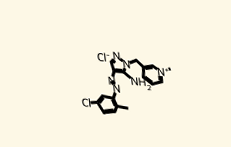 Cc1ccc(Cl)cc1/N=N/c1cnn(Cc2ccc[n+](C)c2)c1N.[Cl-]